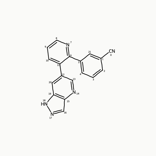 N#Cc1cccc(-c2ncccc2-c2cnc3cn[nH]c3c2)c1